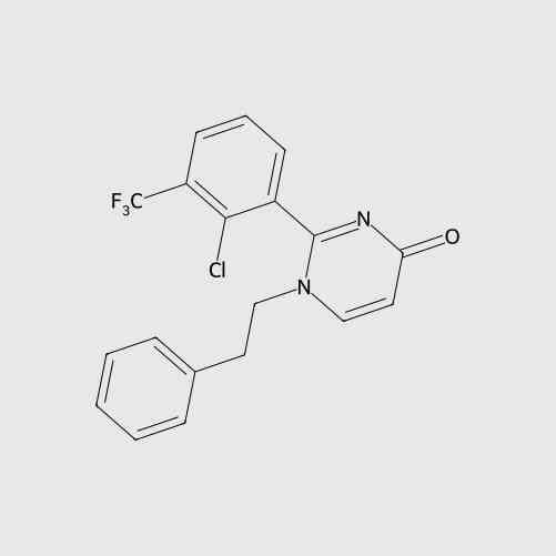 O=c1ccn(CCc2ccccc2)c(-c2cccc(C(F)(F)F)c2Cl)n1